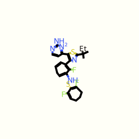 CCC(C)(C)c1nc(C2=C(F)C(NSC3=C(F)CCCC=C3F)=CCC=C2)c(-c2ccnc(N)n2)s1